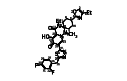 CCc1coc(C2CCC3(CC2)N(CC)C(=O)c2c(O)c(=O)c(-c4nnc(Cc5ccc(F)cc5F)s4)cn2N3C)n1